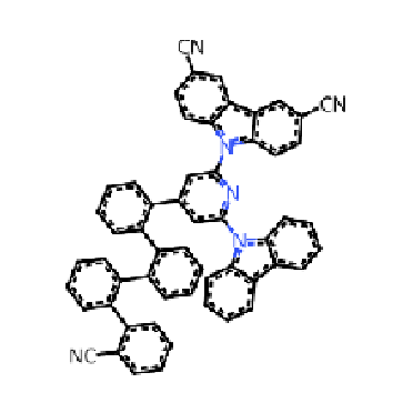 N#Cc1ccc2c(c1)c1cc(C#N)ccc1n2-c1cc(-c2ccccc2-c2ccccc2-c2ccccc2-c2ccccc2C#N)cc(-n2c3ccccc3c3ccccc32)n1